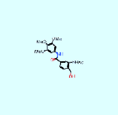 COc1cc(NC(=O)c2ccc(CO)c(NC(C)=O)c2)cc(OC)c1OC